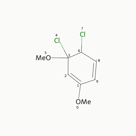 COC1=CC(Cl)(OC)C(Cl)[C]=C1